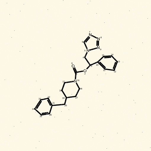 O=C(OC(Cn1cnnn1)c1ccccc1)N1CCC(Cc2ccccc2)CC1